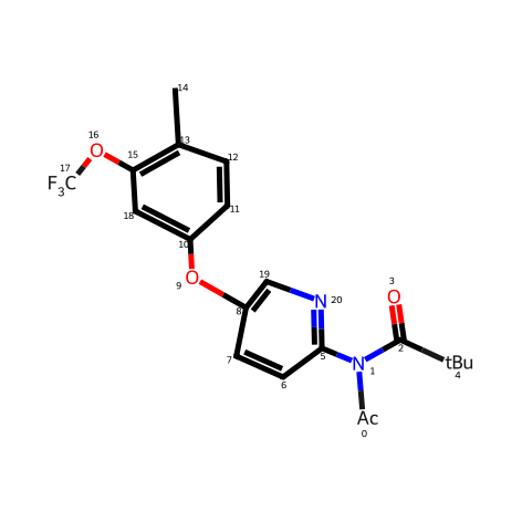 CC(=O)N(C(=O)C(C)(C)C)c1ccc(Oc2ccc(C)c(OC(F)(F)F)c2)cn1